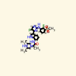 CC(C(=O)Nc1cccc2c(-c3nc(Nc4cccc(S(C)(=O)=O)c4F)ncc3F)c[nH]c12)N1C[C@H](C)N[C@@H](C)C1